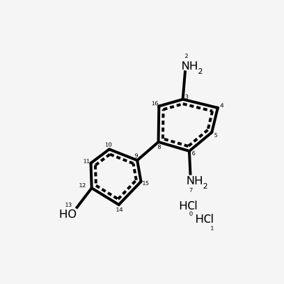 Cl.Cl.Nc1ccc(N)c(-c2ccc(O)cc2)c1